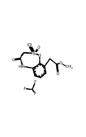 COC(=O)Cc1cccc2c1OS(=O)(=O)CC(=O)N2.FC(F)F